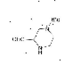 CC(C)(C)N1CCNC(C=O)C1